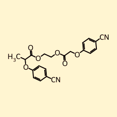 CC(Oc1ccc(C#N)cc1)C(=O)OCCOC(=O)COc1ccc(C#N)cc1